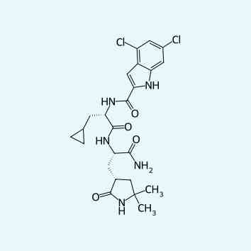 CC1(C)C[C@@H](C[C@H](NC(=O)[C@H](CC2CC2)NC(=O)c2cc3c(Cl)cc(Cl)cc3[nH]2)C(N)=O)C(=O)N1